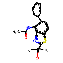 CC(=O)Nc1c(-c2ccccc2)ccc2sc(C(C)(C)O)nc12